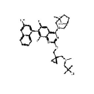 CN(CC(C)(C)O)CC1(COc2nc(N3CC4CC[C@@](C)(C3)N4)c3cc(F)c(-c4cc(O)cc5ccccc45)c(F)c3n2)CC1